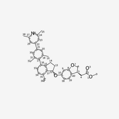 COC(=O)C[C@@H]1COc2cc(O[C@@H]3CCc4c(-c5c(C)cc(-c6cc(C)nc(C)c6)cc5C)ccc(F)c43)ccc21